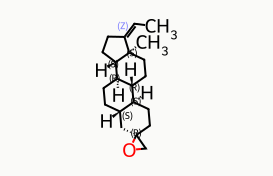 C/C=C1/CC[C@H]2[C@@H]3CC[C@H]4C[C@]5(CC[C@@H]4[C@H]3CC[C@]12C)CO5